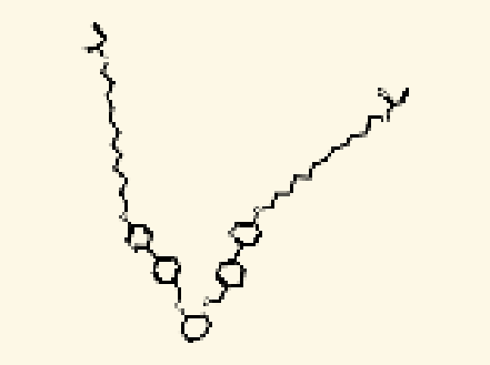 C=CC(=O)OCCCCCCCCCCCCOc1ccc(-c2ccc(CO[C@@H]3CCCC[C@H]3OCc3ccc(-c4ccc(OCCCCCCCCCCCCOC(=O)C=C)cn4)cc3)cc2)nc1